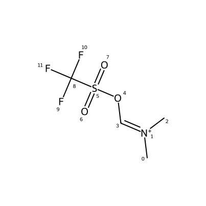 C[N+](C)=COS(=O)(=O)C(F)(F)F